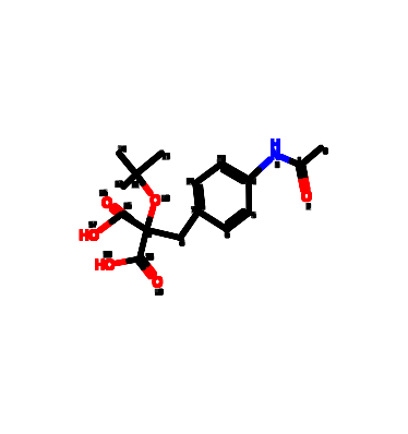 CC(=O)Nc1ccc(CC(OC(C)(C)C)(C(=O)O)C(=O)O)cc1